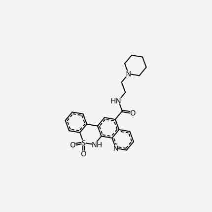 O=C(NCCN1CCCCC1)c1cc2c(c3ncccc13)NS(=O)(=O)c1ccccc1-2